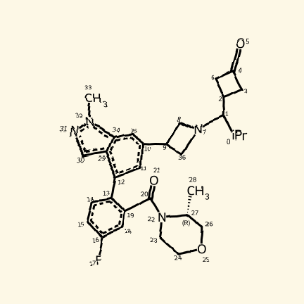 CC(C)C(C1CC(=O)C1)N1CC(c2cc(-c3ccc(F)cc3C(=O)N3CCOC[C@H]3C)c3cnn(C)c3c2)C1